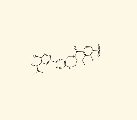 CCc1c(C(=O)N2CCOc3ccc(-c4cnc(N)c(C(=O)N(C)C)c4)cc3C2)ccc(S(C)(=O)=O)c1F